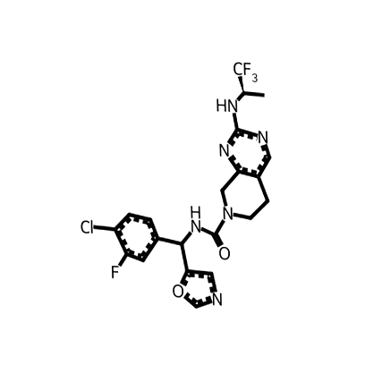 C[C@@H](Nc1ncc2c(n1)CN(C(=O)NC(c1ccc(Cl)c(F)c1)c1cnco1)CC2)C(F)(F)F